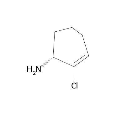 N[C@@H]1CCCC=C1Cl